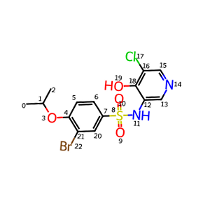 CC(C)Oc1ccc(S(=O)(=O)Nc2cncc(Cl)c2O)cc1Br